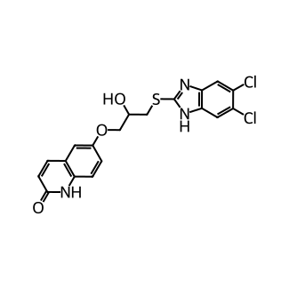 O=c1ccc2cc(OCC(O)CSc3nc4cc(Cl)c(Cl)cc4[nH]3)ccc2[nH]1